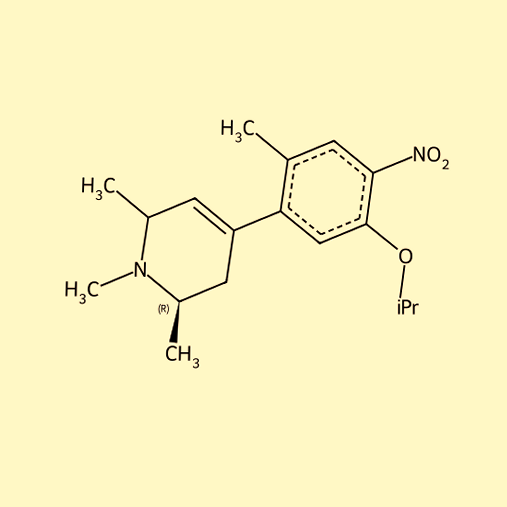 Cc1cc([N+](=O)[O-])c(OC(C)C)cc1C1=CC(C)N(C)[C@H](C)C1